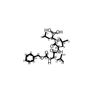 CC(C)C[C@H](NC(=O)[C@@H](CC(C)C)NC(=O)[C@H](CC(C)C)NC(=O)OCc1ccccc1)B(O)O